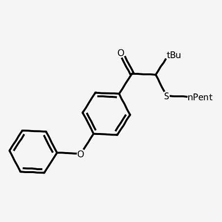 CCCCCSC(C(=O)c1ccc(Oc2ccccc2)cc1)C(C)(C)C